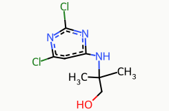 CC(C)(CO)Nc1cc(Cl)nc(Cl)n1